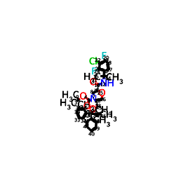 CC(C)(C)OC(=O)N1C[C@@H](C(=O)NC(C)(C)c2ccc(F)c(Cl)c2F)OC[C@H]1CO[Si](c1ccccc1)(c1ccccc1)C(C)(C)C